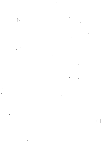 ClCCCCCCCc1cccnc1